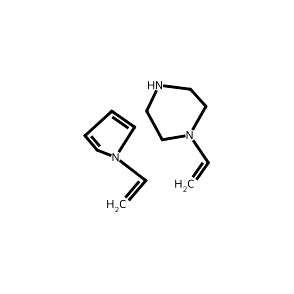 C=CN1CCNCC1.C=Cn1cccc1